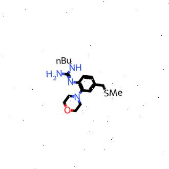 CCCCNC(N)=Nc1ccc(CSC)cc1N1CCOCC1